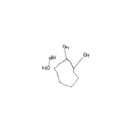 CCCCO.OC1CCCCC1O